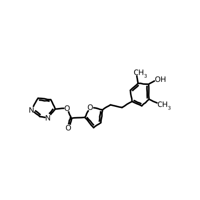 Cc1cc(CCc2ccc(C(=O)Oc3ccncn3)o2)cc(C)c1O